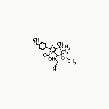 CCOC(=O)C(CCC#N)c1c(C(C)(C)C)nc(-c2ccc(OC)cc2)n1C(=O)O